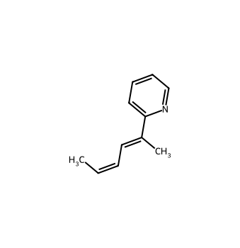 C/C=C\C=C(/C)c1ccccn1